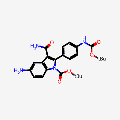 CC(C)(C)OC(=O)Nc1ccc(-c2c(C(N)=O)c3cc(N)ccc3n2C(=O)OC(C)(C)C)cc1